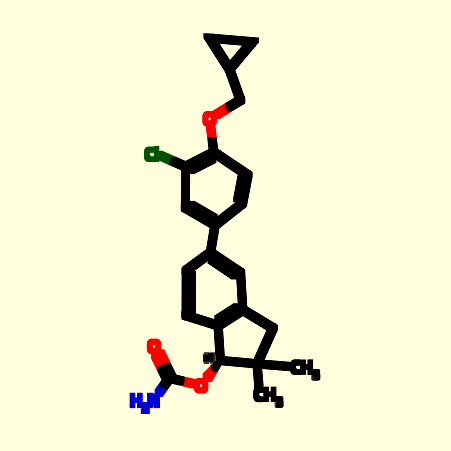 CC1(C)Cc2cc(-c3ccc(OCC4CC4)c(Cl)c3)ccc2[C@@H]1OC(N)=O